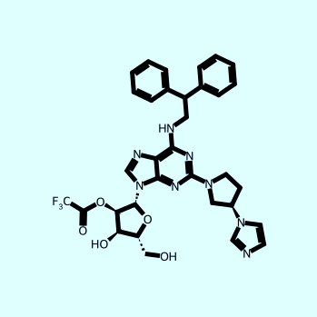 O=C(O[C@@H]1[C@H](O)[C@@H](CO)O[C@H]1n1cnc2c(NCC(c3ccccc3)c3ccccc3)nc(N3CC[C@@H](n4ccnc4)C3)nc21)C(F)(F)F